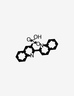 O=S(=O)(O)c1cc2ccccc2nc1-c1ccc2ccccc2n1